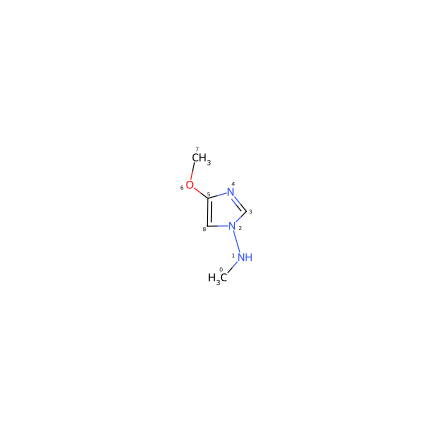 CNn1cnc(OC)c1